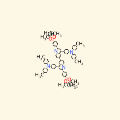 Cc1ccc(N(c2ccc(C)cc2)c2ccc(-c3cc(-c4ccc(B5OC(C)(C)C(C)(C)O5)cc4)nc4ccc(-c5ccc6nc(-c7ccc(B8OC(C)(C)C(C)(C)O8)cc7)cc(-c7ccc(N(c8ccc(C)cc8)c8ccc(C)cc8)cc7)c6c5)cc34)cc2)cc1